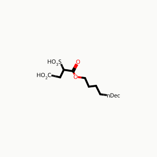 CCCCCCCCCCCCCCOC(=O)C(CC(=O)O)S(=O)(=O)O